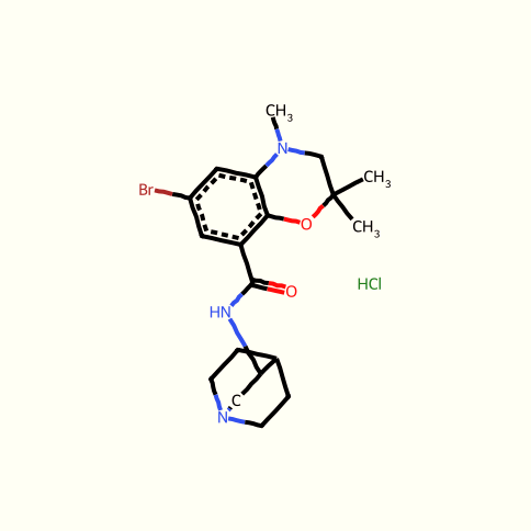 CN1CC(C)(C)Oc2c(C(=O)NC3CN4CCC3CC4)cc(Br)cc21.Cl